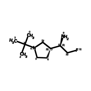 CC(C)(C)N1CC[C@@H]([C@@H](N)CF)C1